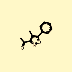 CC(=O)c1noc(-c2ccccc2)c1C